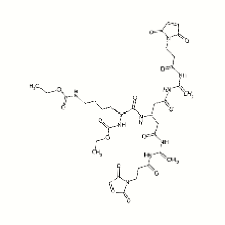 C=C(NC(=O)CCN1C(=O)C=CC1=O)NC(=O)CC(CC(=O)NC(=C)NC(=O)CCN1C(=O)C=CC1=O)NC(=O)C(CCCCNC(=O)OCC)NC(=O)OCC